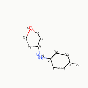 CC1CCC(NC2CCOCC2)CC1